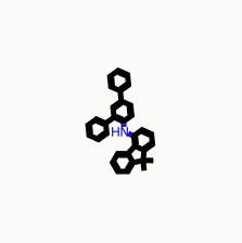 CC1(C)c2ccccc2-c2c(Nc3ccc(-c4ccccc4)cc3-c3ccccc3)cccc21